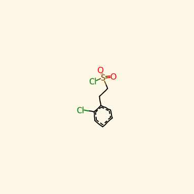 O=S(=O)(Cl)CCc1ccccc1Cl